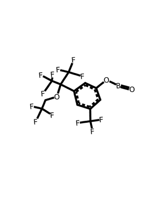 O=BOc1cc(C(F)(F)F)cc(C(OCC(F)(F)F)(C(F)(F)F)C(F)(F)F)c1